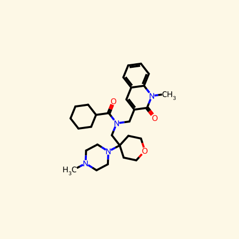 CN1CCN(C2(CN(Cc3cc4ccccc4n(C)c3=O)C(=O)C3CCCCC3)CCOCC2)CC1